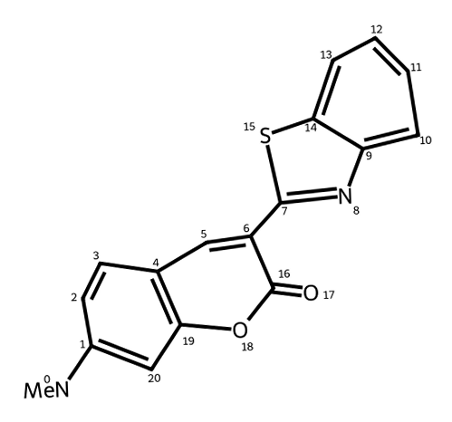 CNc1ccc2cc(-c3nc4ccccc4s3)c(=O)oc2c1